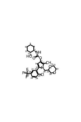 Cc1c(OC(=O)N[C@@H]2CCCC[C@H]2O)cc(-c2cc(C(F)(F)F)ccc2Cl)n1CC1COCCO1